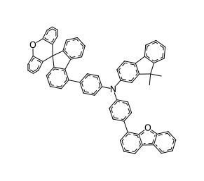 CC1(C)c2ccccc2-c2ccc(N(c3ccc(-c4cccc5c4-c4ccccc4C54c5ccccc5Oc5ccccc54)cc3)c3ccc(-c4cccc5c4oc4ccccc45)cc3)cc21